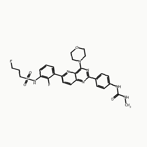 CNC(=O)Nc1ccc(-c2nc(N3CCOCC3)c3nc(-c4cccc(NS(=O)(=O)CCCF)c4F)ccc3n2)cc1